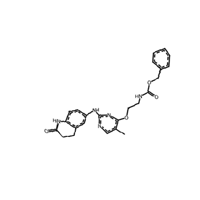 Cc1cnc(Nc2ccc3c(c2)CCC(=O)N3)nc1OCCNC(=O)OCc1ccccc1